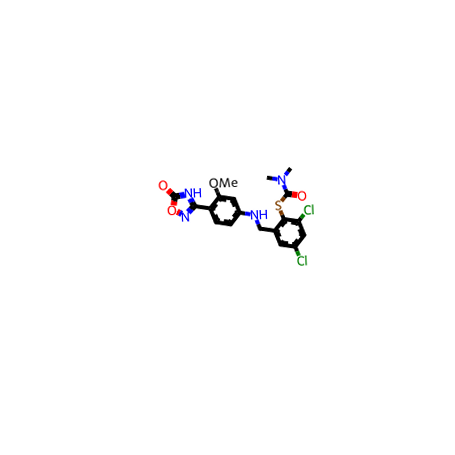 COc1cc(NCc2cc(Cl)cc(Cl)c2SC(=O)N(C)C)ccc1-c1noc(=O)[nH]1